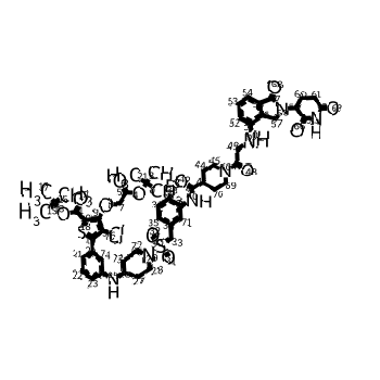 CC(C)(C)OC(=O)COc1c(C(=O)OC(C)(C)C)sc(-c2cccc(NC3CCN(S(=O)(=O)Cc4ccc(F)c(NC(=O)C5CCN(C(=O)CNc6cccc7c6CN(C6CCC(=O)NC6=O)C7=O)CC5)c4)CC3)c2)c1Cl